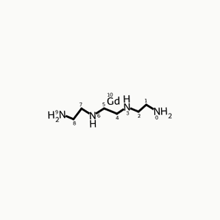 NCCNCCNCCN.[Gd]